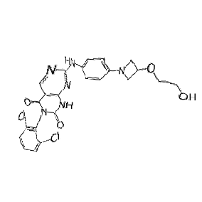 O=c1[nH]c2nc(Nc3ccc(N4CC(OCCO)C4)cc3)ncc2c(=O)n1-c1c(Cl)cccc1Cl